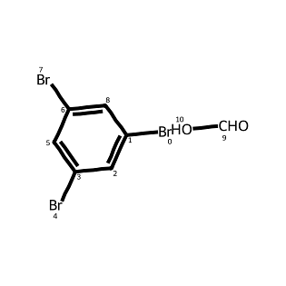 Brc1cc(Br)cc(Br)c1.O=CO